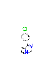 Clc1ccc(-c2nccn3cccc23)cc1